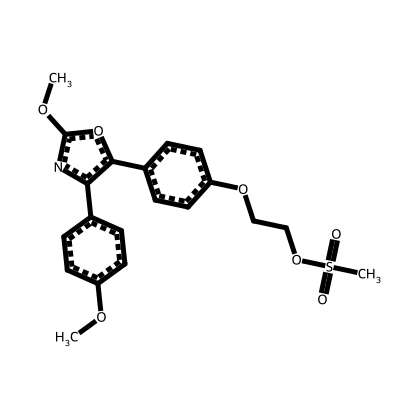 COc1ccc(-c2nc(OC)oc2-c2ccc(OCCOS(C)(=O)=O)cc2)cc1